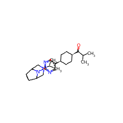 CC(C)C(=O)[C@H]1CC[C@@H](c2cnc(N3C4CCC3CN(C(C)C)C4)nc2)CC1